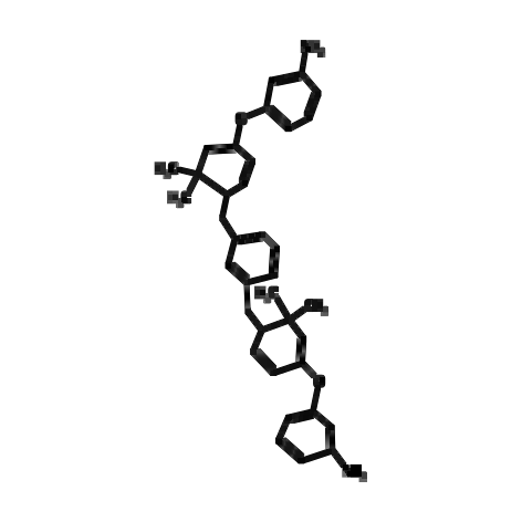 CC1(C)C=C(Oc2cccc(N)c2)C=CC1Cc1cccc(CC2C=CC(Oc3cccc(N)c3)=CC2(C)C)c1